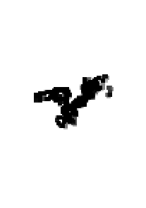 O[C@@H]1CCCN(c2cc(Cl)ncc2C#Cc2cnn(C(F)(F)F)c2)C1